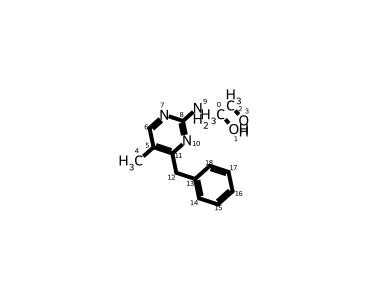 CO.CO.Cc1cnc(N)nc1Cc1ccccc1